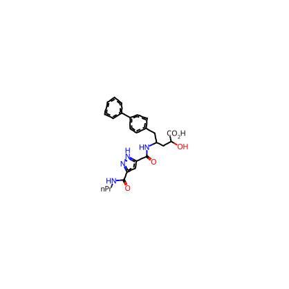 CCCNC(=O)c1cc(C(=O)NC(Cc2ccc(-c3ccccc3)cc2)CC(O)C(=O)O)[nH]n1